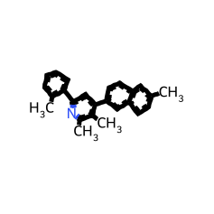 Cc1ccc2cc(-c3cc(-c4ccccc4C)nc(C)c3C)ccc2c1